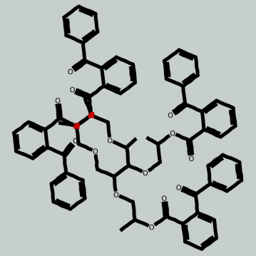 CC(COCC(OCC(C)OC(=O)c1ccccc1C(=O)c1ccccc1)C(OCC(C)OC(=O)c1ccccc1C(=O)c1ccccc1)C(C)OCC(C)OC(=O)c1ccccc1C(=O)c1ccccc1)OC(=O)c1ccccc1C(=O)c1ccccc1